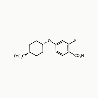 CCOC(=O)[C@H]1CC[C@H](Oc2ccc(C(=O)O)c(F)c2)CC1